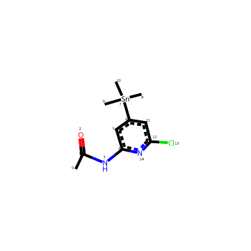 CC(=O)Nc1c[c]([Sn]([CH3])([CH3])[CH3])cc(Cl)n1